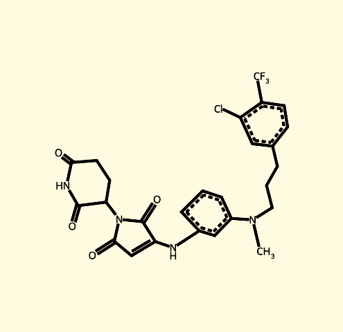 CN(CCCc1ccc(C(F)(F)F)c(Cl)c1)c1cccc(NC2=CC(=O)N(C3CCC(=O)NC3=O)C2=O)c1